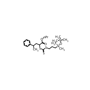 CCCOC(=O)C(CC(C)c1ccccc1)SC(=S)SCCC[Si](C)(C)O[Si](C)(C)C